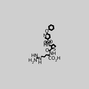 N=C(N)NCCC[C@H](NC(=O)c1sccc1NS(=O)(=O)c1ccc(Oc2ccccc2)nc1)C(=O)O